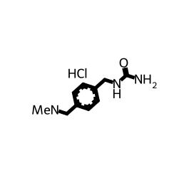 CNCc1ccc(CNC(N)=O)cc1.Cl